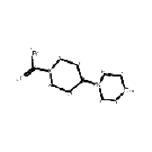 CC(C)C(=O)N1CCC(N2CCOCC2)CC1